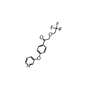 O=C(COCC(F)(F)F)c1ccc(Oc2cccnc2)cc1